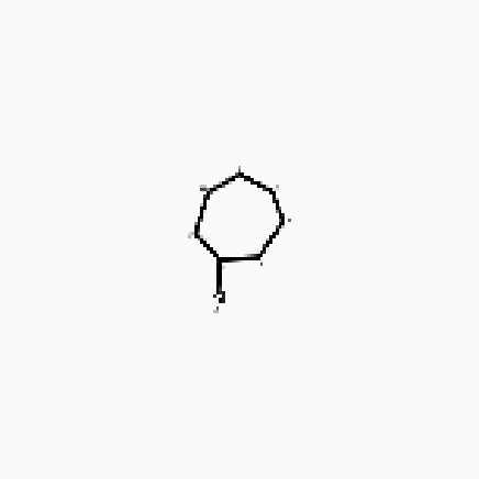 SC1[CH]CCCCC1